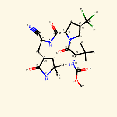 [2H]C1([2H])C[C@@H](C[C@@H](C#N)NC(=O)[C@@H]2C[C@@H](C(F)(F)F)CN2C(=O)[C@@H](NC(=O)OC)C(C)(C)C)C(=O)N1